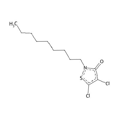 CCCCCCCCCn1sc(Cl)c(Cl)c1=O